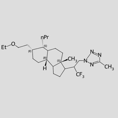 CCC[C@@H]1C2CC[C@]3(C)C(C(Cn4nnc(C)n4)C(F)(F)F)CCC3[C@@H]2CC[C@@H]1CCOCC